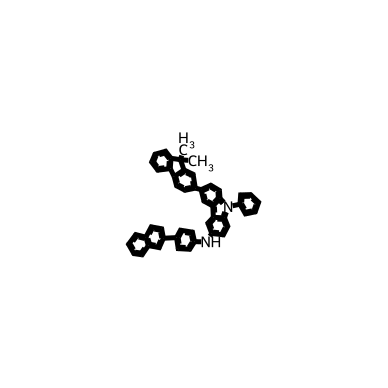 CC1(C)c2ccccc2-c2ccc(-c3ccc4c(c3)c3cc(Nc5ccc(-c6ccc7ccccc7c6)cc5)ccc3n4-c3ccccc3)cc21